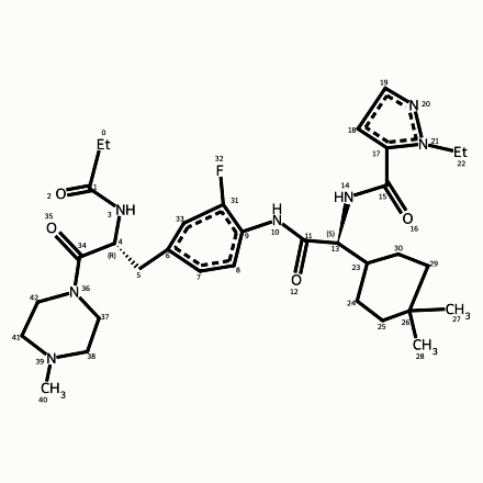 CCC(=O)N[C@H](Cc1ccc(NC(=O)[C@@H](NC(=O)c2ccnn2CC)C2CCC(C)(C)CC2)c(F)c1)C(=O)N1CCN(C)CC1